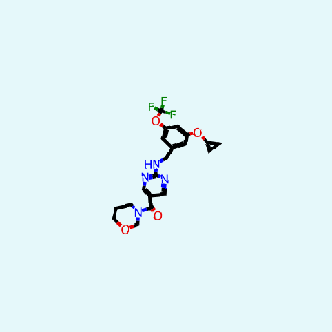 O=C(c1cnc(NCc2cc(OC3CC3)cc(OC(F)(F)F)c2)nc1)N1CCCOC1